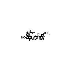 C=C(Cn1c(C#N)cc2c(C)c(CN3CCC(Nc4ncnc5sc(CC(F)(F)F)cc45)CC3)ccc21)NC(=O)C(C)C